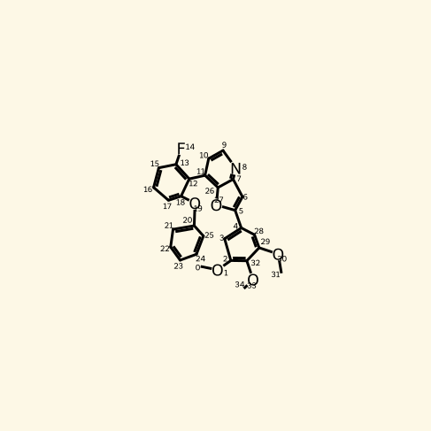 COc1cc(-c2cc3nccc(-c4c(F)cccc4Oc4ccccc4)c3o2)cc(OC)c1OC